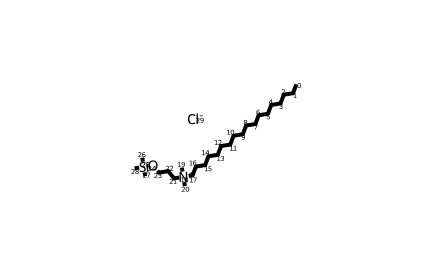 CCCCCCCCCCCCCCCCCC[N+](C)(C)CCCO[Si](C)(C)C.[Cl-]